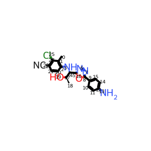 Cc1c(N[C@@H](c2nnc(-c3ccc(N)cc3)o2)[C@@H](C)O)ccc(C#N)c1Cl